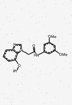 COc1cc(NC(=O)Cn2cnc3cccc(OC(C)C)c32)cc(OC)c1